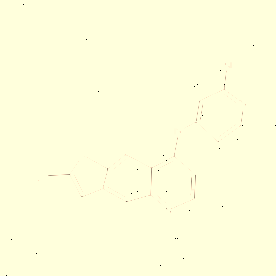 Cc1cc2cc3nccc(Nc4ccnc(N)c4)c3cc2s1